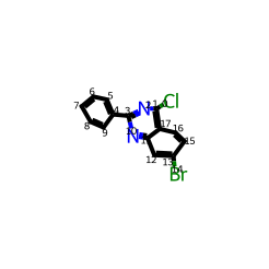 Clc1nc(-c2ccccc2)nc2cc(Br)ccc12